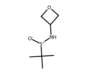 CC(C)(C)[S+]([O-])NC1COC1